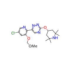 COCOc1cc(Cl)cnc1-c1cnc(OC2CC(C)(C)NC(C)(C)C2)nn1